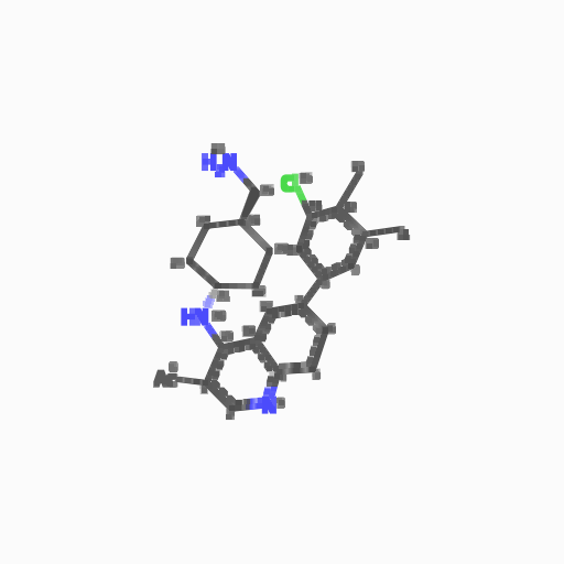 CC(=O)c1cnc2ccc(-c3cc(C)c(C)c(Cl)c3)cc2c1N[C@H]1CC[C@H](CN)CC1